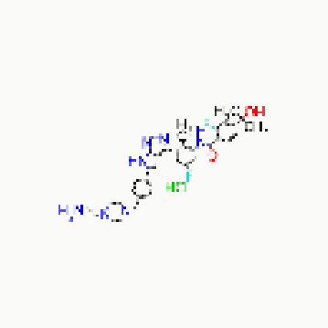 Cc1c(NC(=O)c2ccc(C(C)(C)O)cc2F)cc(F)cc1-c1ncnc2[nH]c(-c3ccc(CN4CCN(CCN)CC4)cc3)cc12.Cl